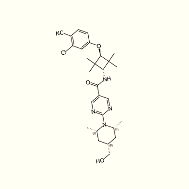 C[C@@H]1C[C@H](CO)C[C@H](C)N1c1ncc(C(=O)N[C@H]2C(C)(C)[C@H](Oc3ccc(C#N)c(Cl)c3)C2(C)C)cn1